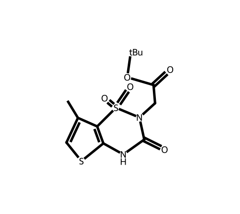 Cc1csc2c1S(=O)(=O)N(CC(=O)OC(C)(C)C)C(=O)N2